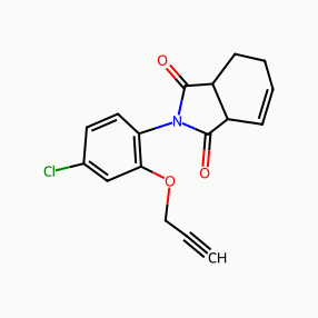 C#CCOc1cc(Cl)ccc1N1C(=O)C2C=CCCC2C1=O